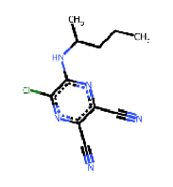 CCCC(C)Nc1nc(C#N)c(C#N)nc1Cl